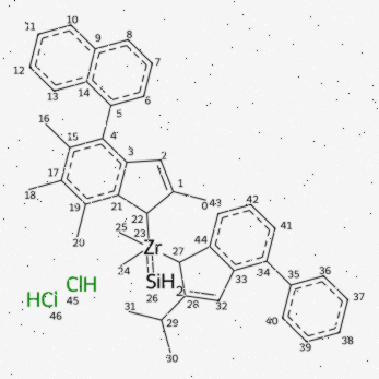 CC1=Cc2c(-c3cccc4ccccc34)c(C)c(C)c(C)c2[CH]1[Zr]([CH3])([CH3])(=[SiH2])[CH]1C(C(C)C)=Cc2c(-c3ccccc3)cccc21.Cl.Cl